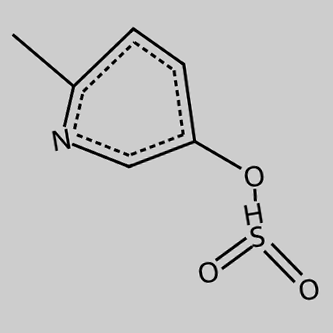 Cc1ccc(O[SH](=O)=O)cn1